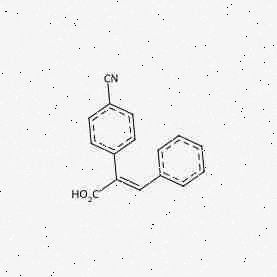 N#Cc1ccc(/C(=C\c2ccccc2)C(=O)O)cc1